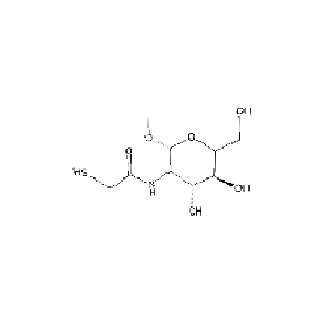 CO[C@@H]1OC(CO)[C@@H](O)[C@H](O)C1NC(=O)CS